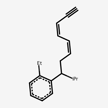 C#C/C=C\C=C/CC(c1ccccc1CC)C(C)C